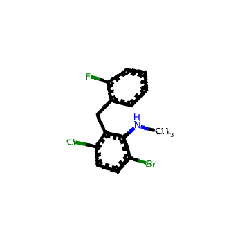 CNc1c(Br)ccc(Cl)c1Cc1ccccc1F